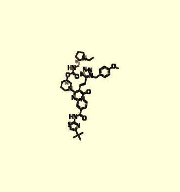 CCN1CCC[C@H]1CNC(=O)O[C@@H]1CCCN(c2nc3cc(C(=O)Nc4nc(C(C)(C)C)cs4)ccn3c(=O)c2C=Cc2nnnn2Cc2ccc(OC)cc2)C1